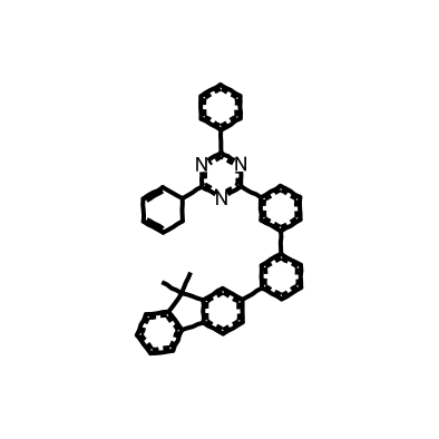 CC1(C)c2ccccc2-c2ccc(-c3cccc(-c4cccc(-c5nc(-c6ccccc6)nc(C6C=CC=CC6)n5)c4)c3)cc21